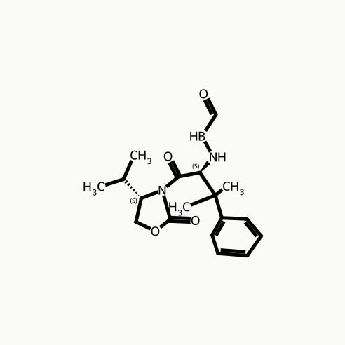 CC(C)[C@H]1COC(=O)N1C(=O)[C@@H](NBC=O)C(C)(C)c1ccccc1